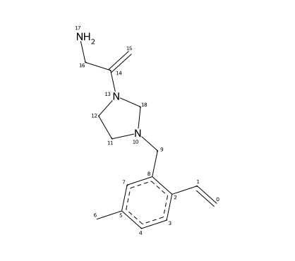 C=Cc1ccc(C)cc1CN1CCN(C(=C)CN)C1